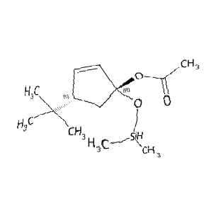 CC(=O)O[C@]1(O[SiH](C)C)C=C[C@@H](C(C)(C)C)C1